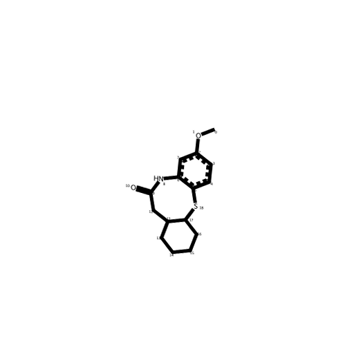 COc1ccc2c(c1)NC(=O)CC1CCCCC1S2